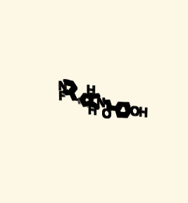 O=C(CN1C[C@H]2C[C@H](Cc3cccnc3F)C[C@H]2C1)c1ccc(O)cc1